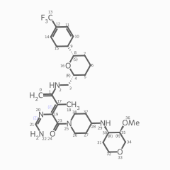 C=C(NC[C@H]1CCC[C@@H](C2C=CC(C(F)(F)F)=CC2)O1)/C(C)=C(\N=C/N)C(=O)N1CCC(N[C@@H]2CCOC[C@@H]2OC)CC1